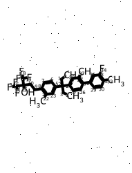 CCC(CC)(c1ccc(CCC(O)(C(F)(F)F)C(F)(F)F)c(C)c1)c1ccc(-c2ccc(C)c(F)c2)c(C)c1